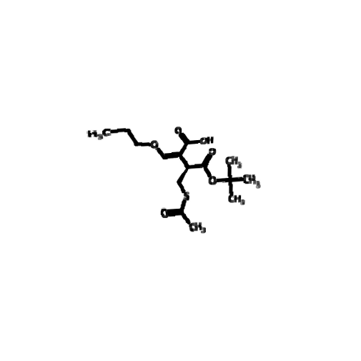 CCCOC=C(C(=O)O)[C@H](CSC(C)=O)C(=O)OC(C)(C)C